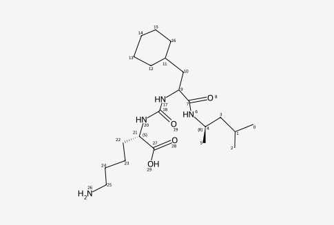 CC(C)C[C@@H](C)NC(=O)C(CC1CCCCC1)NC(=O)N[C@@H](CCCCN)C(=O)O